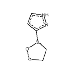 c1cc(B2CCOO2)n[nH]1